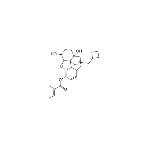 C/C=C(\C)C(=O)OC1=C2OC3C(O)CCC4(O)C5CC(C=C1)C2C34CCN5CC1CCC1